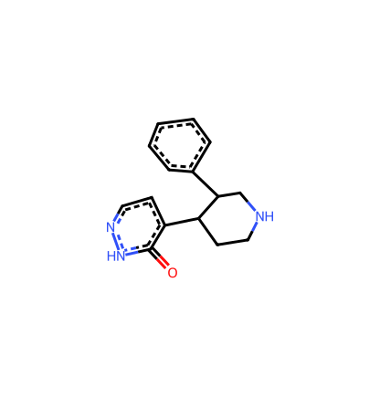 O=c1[nH]nccc1C1CCNCC1c1ccccc1